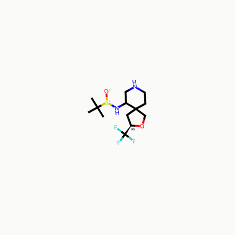 CC(C)(C)[S+]([O-])NC1CNCCC12CO[C@@H](C(F)(F)F)C2